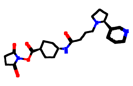 O=C(CCCN1CCC[C@H]1c1cccnc1)N[C@H]1CC[C@H](C(=O)ON2C(=O)CCC2=O)CC1